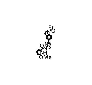 CCC(=O)N1CCc2cc(-c3csc(NC(=O)c4cccc(OC)n4)n3)ccc21